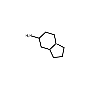 NC1CCN2CCCC2C1